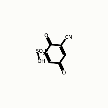 N#CC1=CC(=O)C=CC1=O.O=S(=O)(O)O